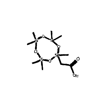 C[Si]1(C)O[Si](C)(C)O[Si](C)(CC(=O)O)O[Si](C)(C)O1